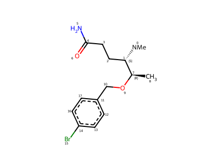 CN[C@@H](CCC(N)=O)[C@@H](C)OCc1ccc(Br)cc1